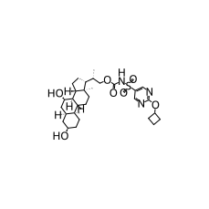 C[C@H](COC(=O)NS(=O)(=O)c1cnc(OC2CCC2)nc1)[C@H]1CC[C@H]2[C@@H]3[C@H](O)C[C@@H]4C[C@H](O)CC[C@]4(C)[C@H]3CC[C@]12C